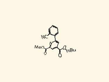 CCCCOC(=O)c1cc(C(=O)OC)nc(-c2ccccc2C#N)c1